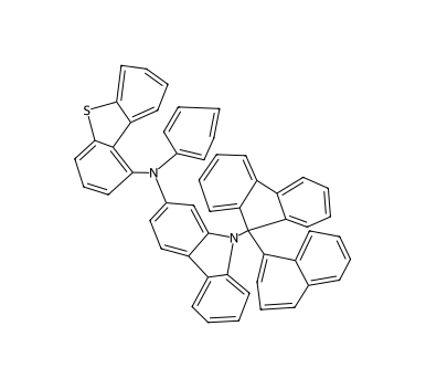 c1ccc(N(c2ccc3c4ccccc4n(C4(c5cccc6ccccc56)c5ccccc5-c5ccccc54)c3c2)c2cccc3sc4ccccc4c23)cc1